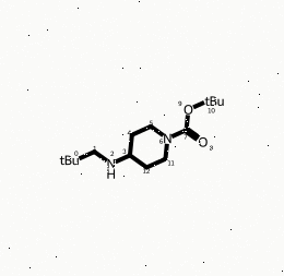 CC(C)(C)CNC1CCN(C(=O)OC(C)(C)C)CC1